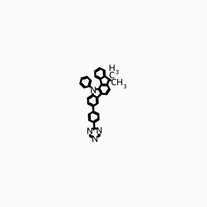 CC1(C)c2ccccc2-c2c1ccc1c3cc(-c4ccc(-c5ncncn5)cc4)ccc3n(-c3ccccc3)c21